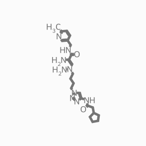 Cc1ccc(CNC(=O)/C(N)=C/N(N)CCCCn2cc(NC(=O)CC3CCCC3)nn2)cn1